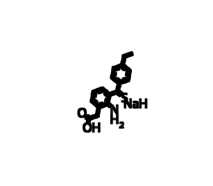 CCc1ccc(C(=S)c2cccc(CC(=O)O)c2N)cc1.[NaH]